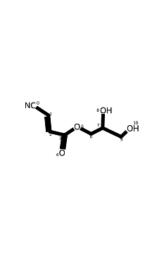 N#CC=CC(=O)OCC(O)CO